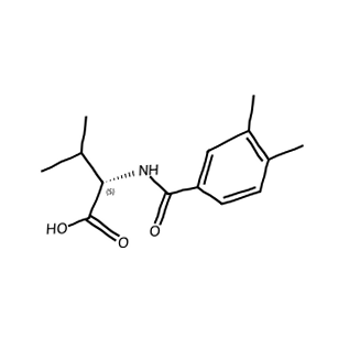 Cc1ccc(C(=O)N[C@H](C(=O)O)C(C)C)cc1C